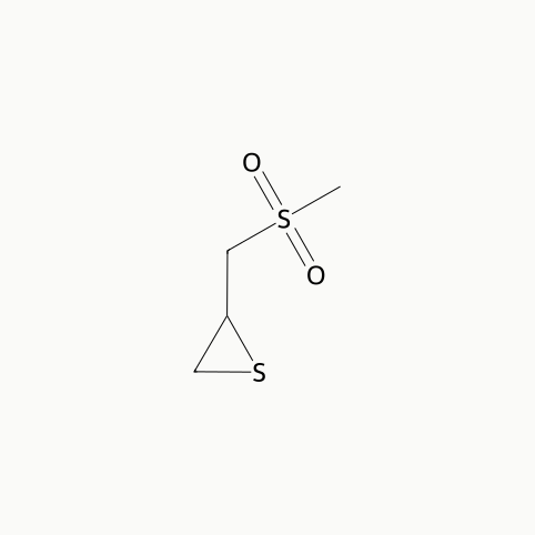 CS(=O)(=O)CC1CS1